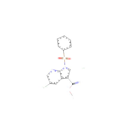 CCOC(=N)c1cn(S(=O)(=O)c2ccccc2)c2ncc(Br)cc12.Cl